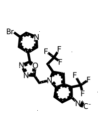 [C-]#[N+]c1ccc2c(cc(CC(F)(F)F)n2Cc2nnc(-c3cncc(Br)c3)o2)c1C(F)(F)F